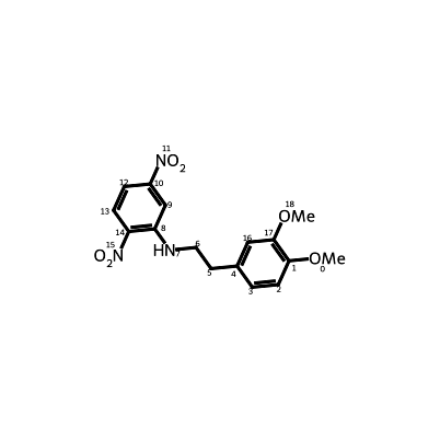 COc1ccc(CCNc2cc([N+](=O)[O-])ccc2[N+](=O)[O-])cc1OC